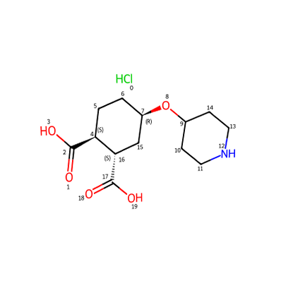 Cl.O=C(O)[C@H]1CC[C@@H](OC2CCNCC2)C[C@@H]1C(=O)O